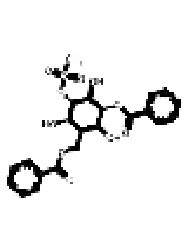 CS(=O)(=O)O[C@H]1C(O)[C@@H](OC(=O)c2ccccc2)C(O)C(COC(=O)c2ccccc2)[C@H]1O